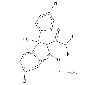 CCOC(=O)C(C(=O)C(F)F)S(C)(c1ccc(Cl)cc1)c1ccc(Cl)cc1